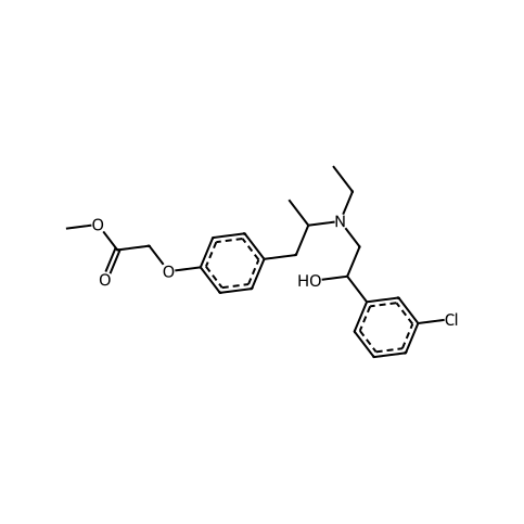 CCN(CC(O)c1cccc(Cl)c1)C(C)Cc1ccc(OCC(=O)OC)cc1